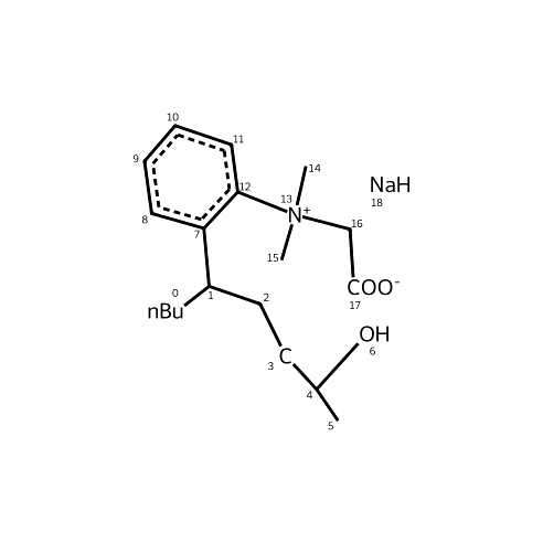 CCCCC(CCC(C)O)c1ccccc1[N+](C)(C)CC(=O)[O-].[NaH]